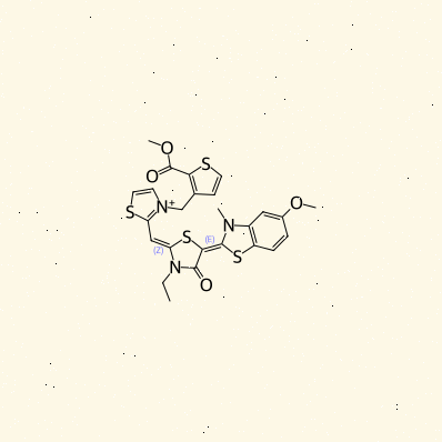 CCn1c(=O)/c(=C2\Sc3ccc(OC)cc3N2C)s/c1=C\c1scc[n+]1Cc1ccsc1C(=O)OC